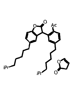 CC(=O)c1ccc(CCCCCC(C)C)cc1C1C(=O)Oc2ccc(CCCCCC(C)C)cc21.O=C1CC=CO1